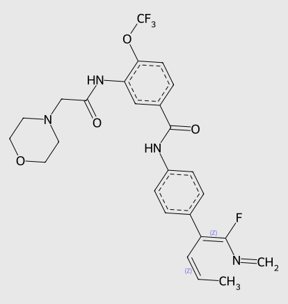 C=N/C(F)=C(\C=C/C)c1ccc(NC(=O)c2ccc(OC(F)(F)F)c(NC(=O)CN3CCOCC3)c2)cc1